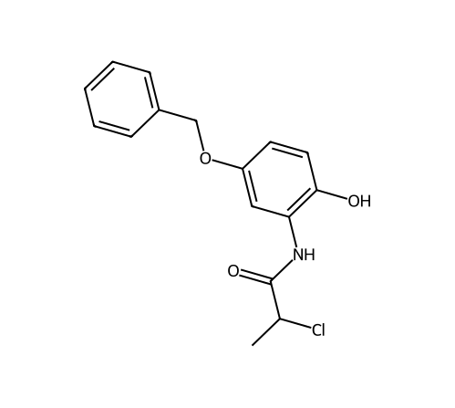 CC(Cl)C(=O)Nc1cc(OCc2ccccc2)ccc1O